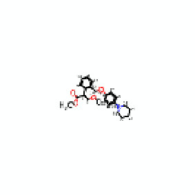 CO/C=C(/C(=O)OC)c1ccccc1COc1ccc(N2CCCCC2)cc1